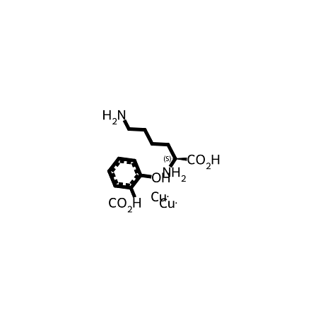 NCCCC[C@H](N)C(=O)O.O=C(O)c1ccccc1O.[Cu].[Cu]